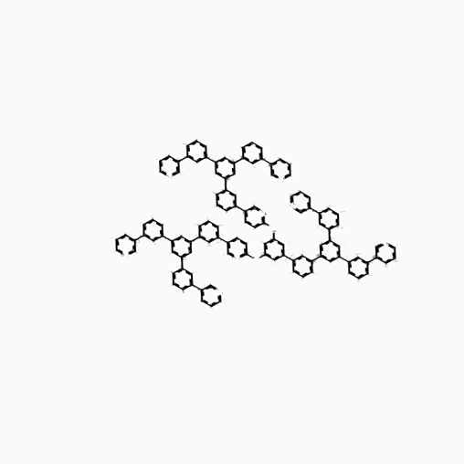 c1cncc(-c2cccc(-c3cc(-c4cccc(-c5cccnc5)c4)cc(-c4cccc(-c5ccc(Oc6cc(Oc7ccc(-c8cccc(-c9cc(-c%10cccc(-c%11cccnc%11)c%10)cc(-c%10cccc(-c%11cccnc%11)c%10)c9)c8)cn7)cc(-c7cccc(-c8cc(-c9cccc(-c%10cccnc%10)c9)cc(-c9cccc(-c%10cccnc%10)c9)c8)c7)c6)nc5)c4)c3)c2)c1